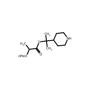 CCCCCC(C)C(=O)OC(C)(C)C1CCNCC1